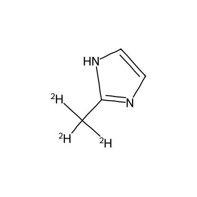 [2H]C([2H])([2H])c1ncc[nH]1